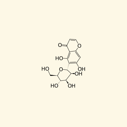 O=c1ccoc2cc(O)c([C@H]3O[C@H](CO)[C@@H](O)[C@H](O)[C@@H]3O)c(O)c12